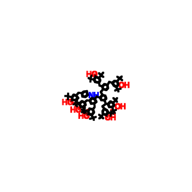 CC(C)(C)c1cc(Cc2ccc(Nc3c(Cc4cc(C(C)(C)C)c(O)c(C(C)(C)C)c4)cc(Cc4cc(C(C)(C)C)c(O)c(C(C)(C)C)c4)cc3Cc3cc(C(Cc4cc(C(C)(C)C)c(O)c(C(C)(C)C)c4)c4cc(C(C)(C)C)c(O)c(C(C)(C)C)c4)ccc3Cc3ccc(Cc4cc(C(C)(C)C)c(O)c(C(C)(C)C)c4)cc3Cc3cc(C(C)(C)C)c(O)c(C(C)(C)C)c3)cc2)cc(C(C)(C)C)c1O